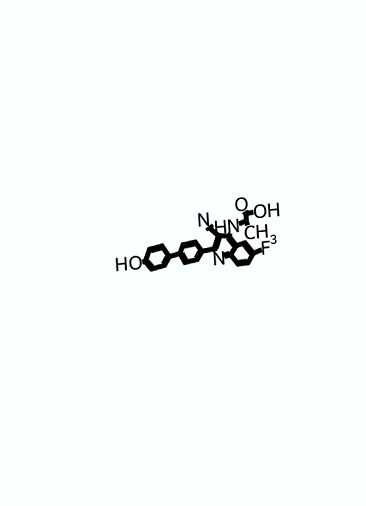 CC(Nc1c(C#N)c(-c2ccc(-c3ccc(O)cc3)cc2)nc2ccc(F)cc12)C(=O)O